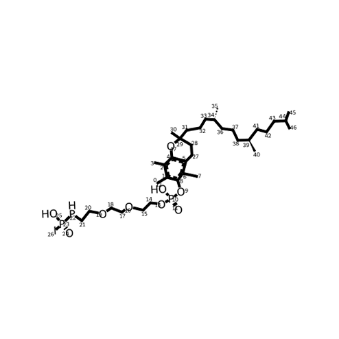 Cc1c(C)c2c(c(C)c1OP(=O)(O)OCCOCCOCCPP(=O)(O)I)CCC(C)(CCC[C@H](C)CCC[C@H](C)CCCC(C)C)O2